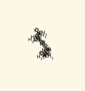 C[C@H](NOC[C@@H](c1ccccc1)N(C)C)c1ncc(-c2cnc(-c3ccc(-c4cnc([C@@H]5CCCN5C(=O)[C@@H](c5ccccc5)N(C)C)[nH]4)cc3)nc2)[nH]1